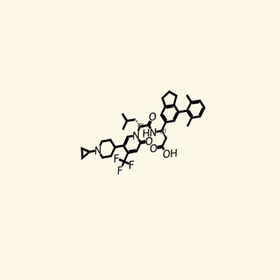 Cc1cccc(C)c1-c1cc([C@@H](CC(=O)O)NC(=O)[C@@H](CC(C)C)n2cc(C3CCN(C4CC4)CC3)c(C(F)(F)F)cc2=O)cc2c1CCC2